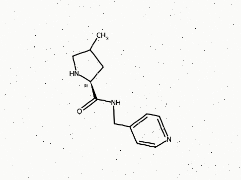 CC1CN[C@H](C(=O)NCc2ccncc2)C1